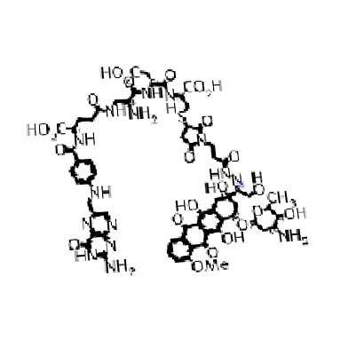 COc1cccc2c1C(=O)c1c(O)c3c(c(O)c1C2=O)C[C@@](O)(/C(CO)=N\NC(=O)CCN1C(=O)CC(SC[C@H](NC(=O)[C@H](CC(=O)O)NC(=O)[C@@H](N)CNC(=O)CC[C@@H](NC(=O)c2ccc(NCc4cnc5nc(N)[nH]c(=O)c5n4)cc2)C(=O)O)C(=O)O)C1=O)C[C@@H]3O[C@H]1C[C@@H](N)[C@H](O)C(C)O1